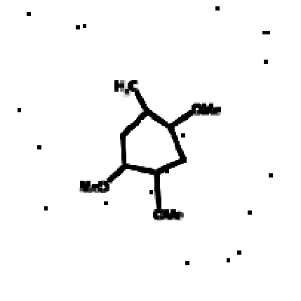 COC1CC(OC)C(OC)CC1C